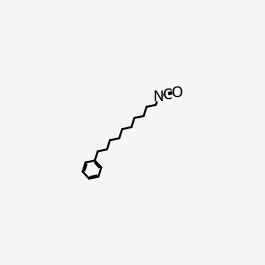 O=C=NCCCCCCCCCCc1ccccc1